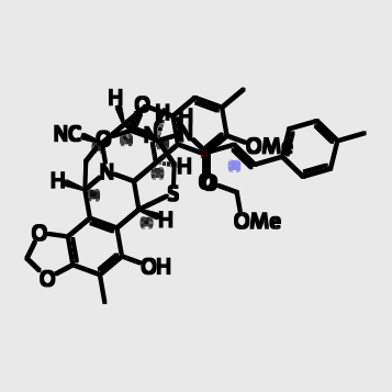 COCOc1c(OC)c(C)cc2c1[C@H]1C3[C@@H]4SC[C@H](NC(=O)/C=C/c5ccc(C)cc5)C(=O)OC[C@@H](c5c6c(c(C)c(O)c54)OCO6)N3[C@@H](C#N)[C@H](C2)N1C